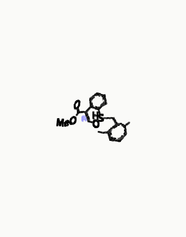 COC(=O)/C(=C/O)c1ccccc1SCc1c(C)cccc1C